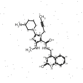 CC#CCn1c(N2CCCC(N)C2)nc(NC)c1C(=O)NCc1nc(=O)oc2ccccc12